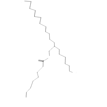 CCCCCCCCCCCCC(CCCCCCC)COC(=O)CCCCCCC